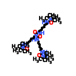 CC(C)N(C(=O)NCCCCCCNC(=O)N(CCCCCCNC(=O)N(C(C)C)C(C)C)C(=O)NCCCCCCNC(=O)N(C(C)C)N(C)C)C(C)C